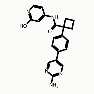 Nc1ncc(-c2ccc(C3(C(=O)Nc4ccnc(O)c4)CCC3)cc2)cn1